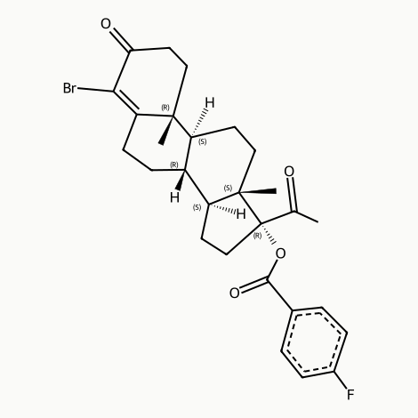 CC(=O)[C@@]1(OC(=O)c2ccc(F)cc2)CC[C@H]2[C@@H]3CCC4=C(Br)C(=O)CC[C@]4(C)[C@H]3CC[C@@]21C